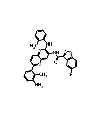 Cc1ccccc1Nc1nc2ccc(-c3cccc(N)c3C)nc2cc1NC(=O)c1nsc2ccc(F)cc12